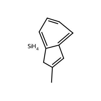 CC1=Cc2ccccc2C1.[SiH4]